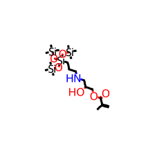 C=C(C)C(=O)OCC(O)CNCCC[Si](O[Si](C)(C)C)(O[Si](C)(C)C)O[Si](C)(C)C